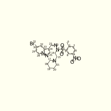 Cc1ccc([N+](=O)[O-])cc1S(=O)(=O)N(CCN1CCCCC1)/N=C\c1cnn2ccc(Br)cc12